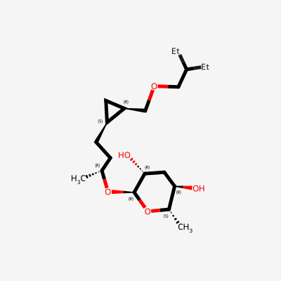 CCC(CC)COC[C@@H]1C[C@@H]1CC[C@@H](C)O[C@@H]1O[C@@H](C)[C@H](O)C[C@H]1O